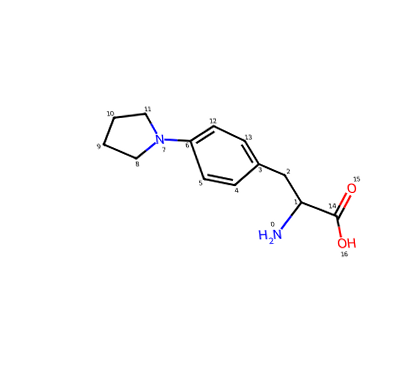 NC(Cc1ccc(N2CCCC2)cc1)C(=O)O